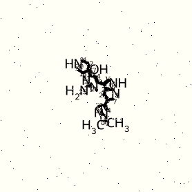 CC(C)n1cc(-c2cnc3[nH]cc(-c4cc(C5(O)CCNCC5)nc(N)n4)c3c2)cn1